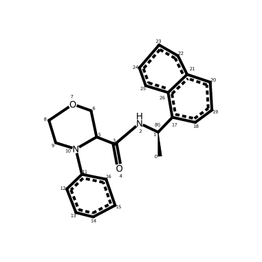 C[C@@H](NC(=O)C1COCCN1c1ccccc1)c1cccc2ccccc12